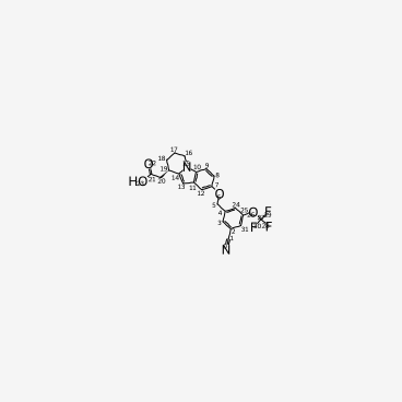 N#Cc1cc(COc2ccc3c(c2)cc2n3CCC[C@@H]2CC(=O)O)cc(OC(F)(F)F)c1